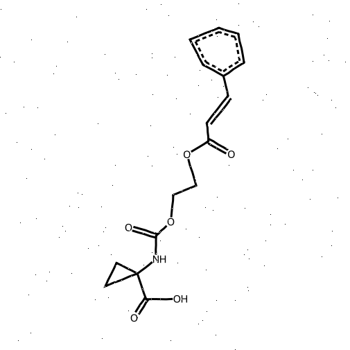 O=C(C=Cc1ccccc1)OCCOC(=O)NC1(C(=O)O)CC1